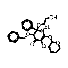 CCN1C(OC2CCCCO2)=C(C)C(=O)C(OCc2ccccc2)C1(OCCO)c1ccccc1